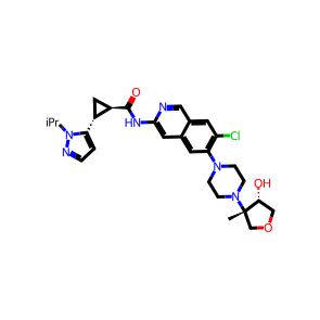 CC(C)n1nccc1[C@@H]1C[C@H]1C(=O)Nc1cc2cc(N3CCN([C@@]4(C)COC[C@H]4O)CC3)c(Cl)cc2cn1